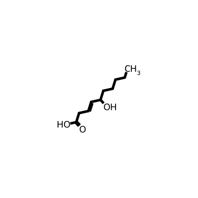 CCCCCC(O)C=CCC(=O)O